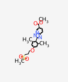 COC(=O)c1ccc2nc(-c3c(C)cc(OCCCS(C)(=O)=O)cc3C)nn2c1